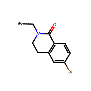 C[C](C)CN1CCc2cc(Br)ccc2C1=O